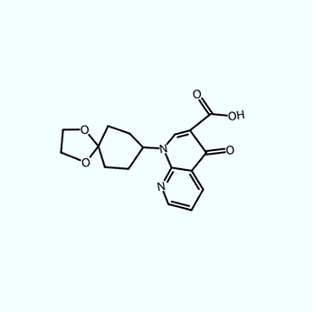 O=C(O)c1cn(C2CCC3(CC2)OCCO3)c2ncccc2c1=O